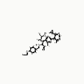 CCSc1ccc(CN/C(C=O)=N/c2c(C)nc(-c3c(C)ncnc3C3CC3)nc2N(C)[C@H](C)CC)cc1